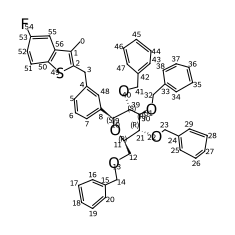 Cc1c(Cc2cccc([C@@H]3O[C@H](COCc4ccccc4)[C@@H](OCc4ccccc4)[C@H](OCc4ccccc4)[C@H]3OCc3ccccc3)c2)sc2ccc(F)cc12